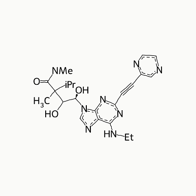 CCNc1nc(C#Cc2cnccn2)nc2c1ncn2[C@H](O)C(O)C(C)(C(=O)NC)C(C)C